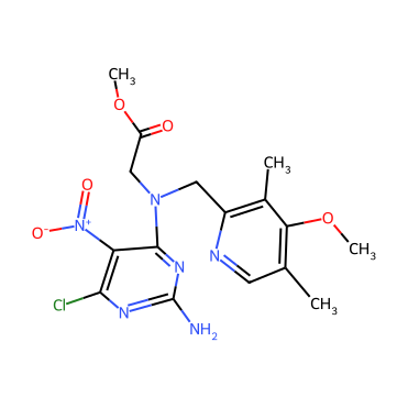 COC(=O)CN(Cc1ncc(C)c(OC)c1C)c1nc(N)nc(Cl)c1[N+](=O)[O-]